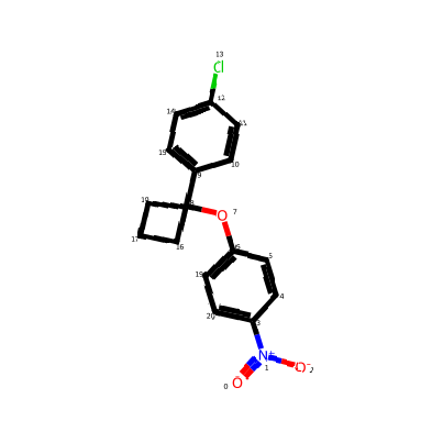 O=[N+]([O-])c1ccc(OC2(c3ccc(Cl)cc3)CCC2)cc1